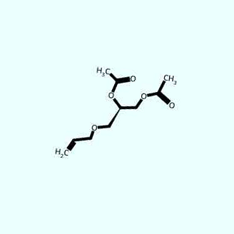 C=CCOC[C@H](COC(C)=O)OC(C)=O